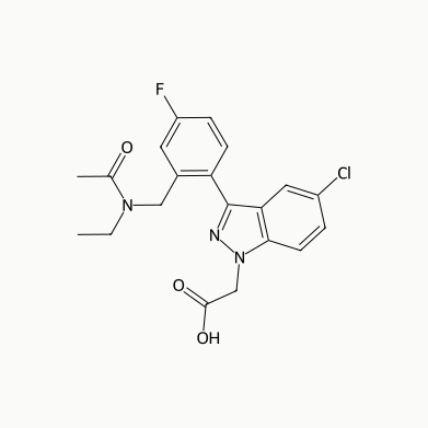 CCN(Cc1cc(F)ccc1-c1nn(CC(=O)O)c2ccc(Cl)cc12)C(C)=O